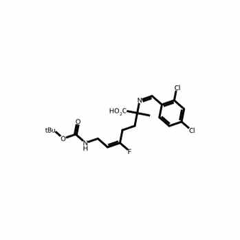 CC(C)(C)OC(=O)NC/C=C(/F)CCC(C)(/N=C\c1ccc(Cl)cc1Cl)C(=O)O